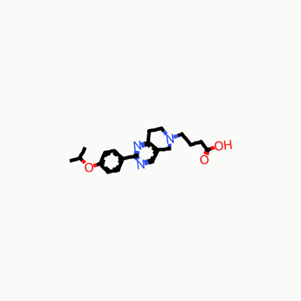 CC(C)Oc1ccc(-c2ncc3c(n2)CCN(CCCC(=O)O)C3)cc1